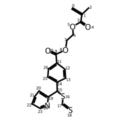 C=C(C)C(=O)OCCOC(=O)c1ccc(C(SC=S)c2ccccn2)cc1